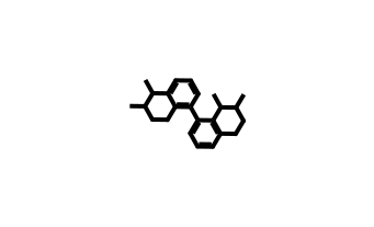 CC1CCc2c(-c3cccc4c3C(C)C(C)CC4)cccc2C1C